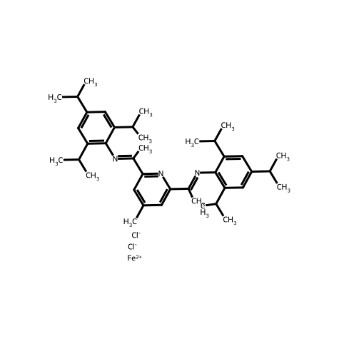 CC(=Nc1c(C(C)C)cc(C(C)C)cc1C(C)C)c1cc(C)cc(C(C)=Nc2c(C(C)C)cc(C(C)C)cc2C(C)C)n1.[Cl-].[Cl-].[Fe+2]